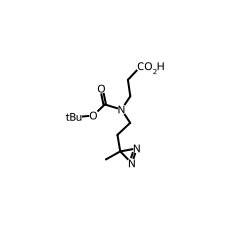 CC1(CCN(CCC(=O)O)C(=O)OC(C)(C)C)N=N1